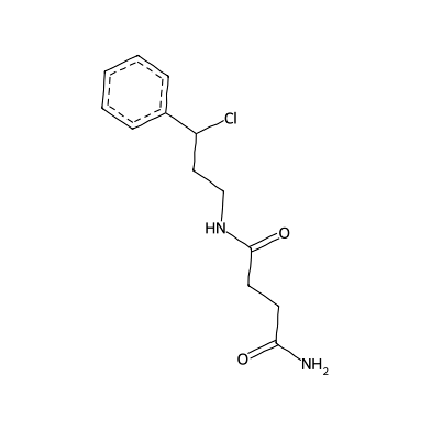 NC(=O)CCC(=O)NCCC(Cl)c1ccccc1